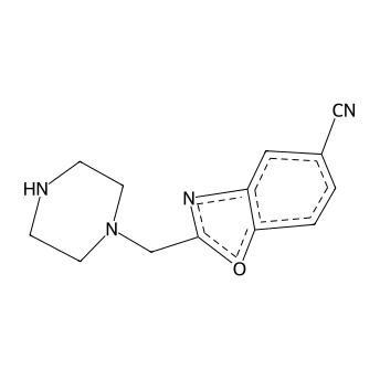 N#Cc1ccc2oc(CN3CCNCC3)nc2c1